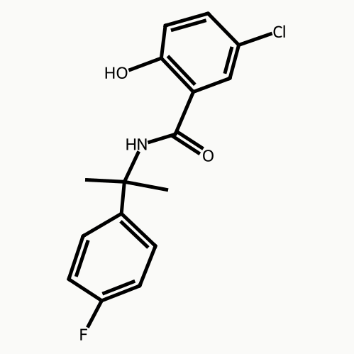 CC(C)(NC(=O)c1cc(Cl)ccc1O)c1ccc(F)cc1